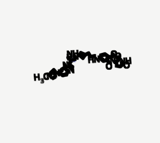 CN1CC2CC1CN2c1ccc2ncc(/C(C=N)=C/NC3CC(CCCNc4ccc5c(c4)C(=O)N(C4CCC(=O)NC4=O)C5=O)C3)nc2c1